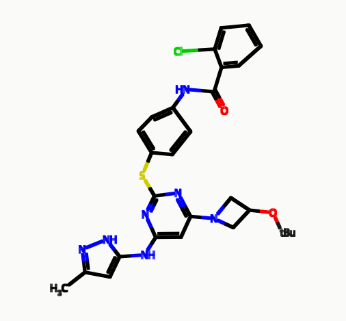 Cc1cc(Nc2cc(N3CC(OC(C)(C)C)C3)nc(Sc3ccc(NC(=O)c4ccccc4Cl)cc3)n2)[nH]n1